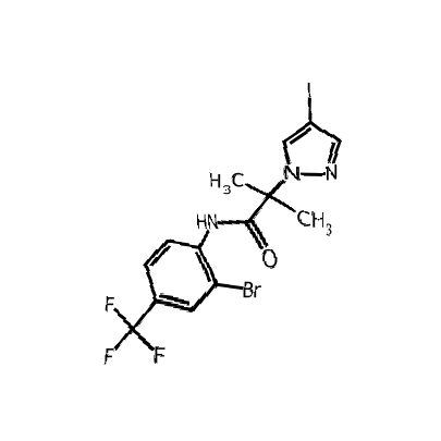 CC(C)(C(=O)Nc1ccc(C(F)(F)F)cc1Br)n1cc(I)cn1